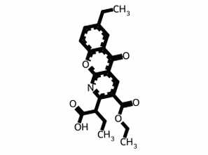 CCOC(=O)c1cc2c(=O)c3cc(CC)ccc3oc2nc1C(CC)C(=O)O